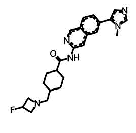 Cn1cncc1-c1ccc2cnc(NC(=O)C3CCC(CN4CC(F)C4)CC3)cc2c1